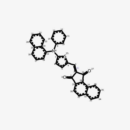 O=C1/C(=C\c2ccc(N(c3ccccc3)c3cccc4ccccc34)s2)C(=O)c2c1ccc1ccccc21